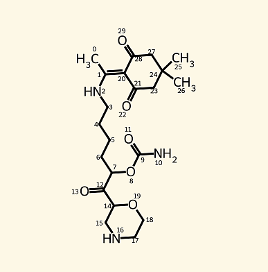 CC(NCCCCC(OC(N)=O)C(=O)C1CNCCO1)=C1C(=O)CC(C)(C)CC1=O